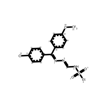 CCS(=O)(=O)N/C=N/N=C(/c1ccc(Cl)cc1)c1ccc(OC(F)(F)F)cc1